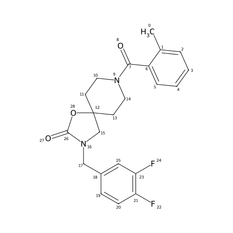 Cc1ccccc1C(=O)N1CCC2(CC1)CN(Cc1ccc(F)c(F)c1)C(=O)O2